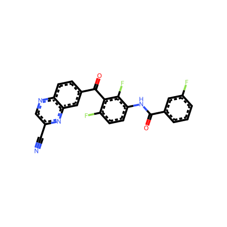 N#Cc1cnc2ccc(C(=O)c3c(F)ccc(NC(=O)c4cccc(F)c4)c3F)cc2n1